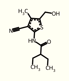 CCC(CC)C(=O)Nc1sc(CO)c(C)c1C#N